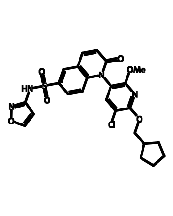 COc1nc(OCC2CCCC2)c(Cl)cc1-n1c(=O)ccc2cc(S(=O)(=O)Nc3ccon3)ccc21